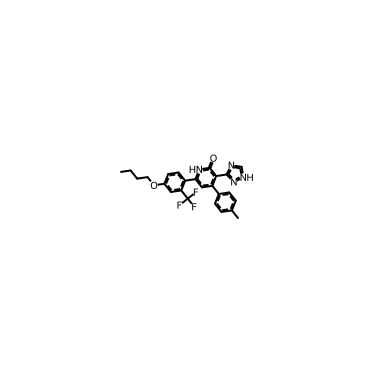 CCCCOc1ccc(-c2cc(-c3ccc(C)cc3)c(-c3nc[nH]n3)c(=O)[nH]2)c(C(F)(F)F)c1